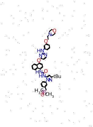 CC(C)(C)c1cc(NC(=O)Nc2ccc(Oc3ccnc(Nc4cccc(OCCN5CCOCC5)c4)n3)c3ccccc23)n(-c2cccc(CP(C)(C)=O)c2)n1